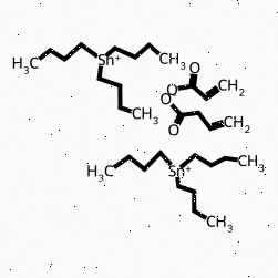 C=CC(=O)[O-].C=CCC(=O)[O-].CCC[CH2][Sn+]([CH2]CCC)[CH2]CCC.CCC[CH2][Sn+]([CH2]CCC)[CH2]CCC